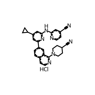 Cl.N#Cc1ccnc(Nc2cc(C3CC3)cc(-c3ccc4ccnc(N5CCC(C#N)CC5)c4c3)n2)c1